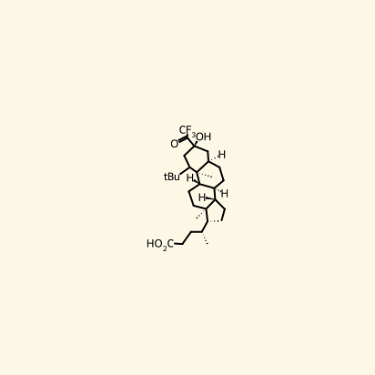 C[C@H](CCC(=O)O)[C@H]1CC[C@H]2[C@@H]3CC[C@@H]4C[C@@](O)(C(=O)C(F)(F)F)CC(C(C)(C)C)[C@]4(C)[C@H]3CC[C@]12C